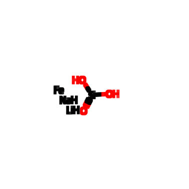 O=[Si](O)O.[Fe].[LiH].[NaH]